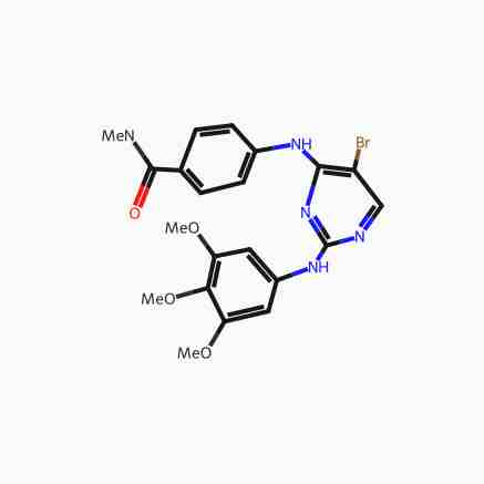 CNC(=O)c1ccc(Nc2nc(Nc3cc(OC)c(OC)c(OC)c3)ncc2Br)cc1